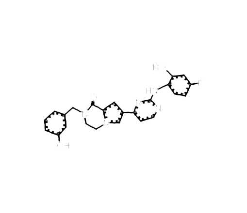 O=C1c2cc(-c3ccnc(Nc4ccc(F)cc4O)n3)cn2CCN1Cc1cccc(O)c1